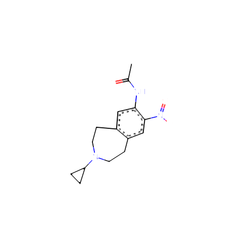 CC(=O)Nc1cc2c(cc1[N+](=O)[O-])CCN(C1CC1)CC2